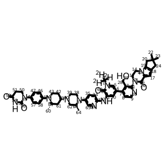 [2H]C([2H])([2H])n1cc(-c2ccnc(N3CCn4c(cc5c4CC(C)(C)C5)C3=O)c2CO)cc(Nc2ccc(N3CCN([C@H]4CCN(c5ccc(N6CCC(=O)NC6=O)cc5)[C@@H](C)C4)C[C@@H]3C)cn2)c1=O